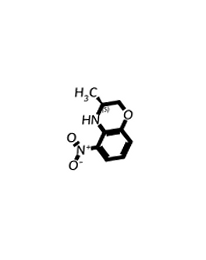 C[C@H]1COc2cccc([N+](=O)[O-])c2N1